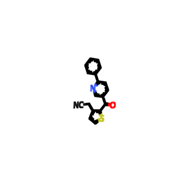 N#CCc1ccsc1C(=O)c1ccc(-c2ccccc2)nc1